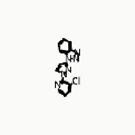 Clc1cccnc1-n1ccc(-n2nnc3ccccc32)n1